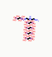 NCCNCCN.O=P(O)(O)CCP(=O)(O)O.O=P(O)(O)CCP(=O)(O)O.O=P(O)(O)CCP(=O)(O)O.O=P(O)(O)CCP(=O)(O)O.O=P(O)(O)CCP(=O)(O)O